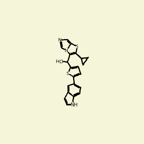 OC(c1ccc(-c2ccc3[nH]ccc3c2)s1)c1c(C2CC2)sc2cncn12